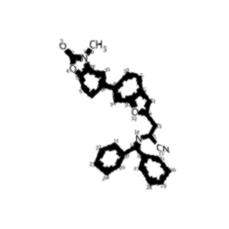 Cn1c(=O)oc2ccc(-c3ccc4cc(CC(C#N)N=C(c5ccccc5)c5ccccc5)oc4c3)cc21